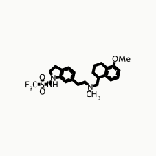 COc1cccc2c1CCCC2CN(C)CCc1ccc2c(c1)N(NS(=O)(=O)C(F)(F)F)CC2